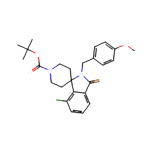 COc1ccc(CN2C(=S)c3cccc(Cl)c3C23CCN(C(=O)OC(C)(C)C)CC3)cc1